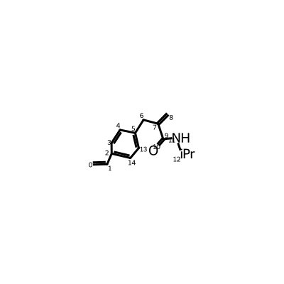 C=Cc1ccc(CC(=C)C(=O)NC(C)C)cc1